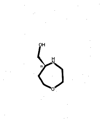 OC[C@@H]1CCOCCN1